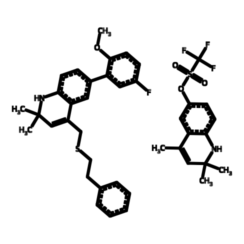 CC1=CC(C)(C)Nc2ccc(OS(=O)(=O)C(F)(F)F)cc21.COc1ccc(F)cc1-c1ccc2c(c1)C(CSCCc1ccccc1)=CC(C)(C)N2